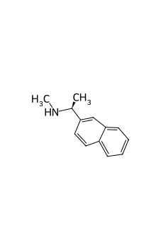 CN[C@@H](C)c1ccc2ccccc2c1